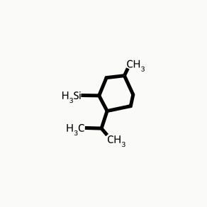 CC1CCC(C(C)C)C([SiH3])C1